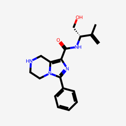 C=C(C)[C@@H](CO)NC(=O)c1nc(-c2ccccc2)n2c1CNCC2